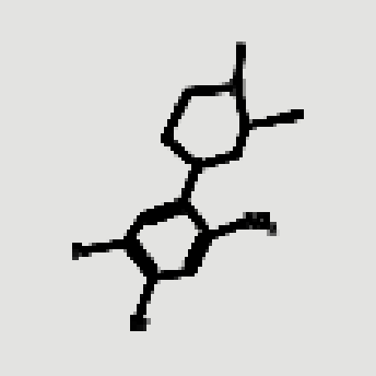 C[C@H]1CN(c2cc(F)c(Br)cc2[N+](=O)[O-])CCN1C